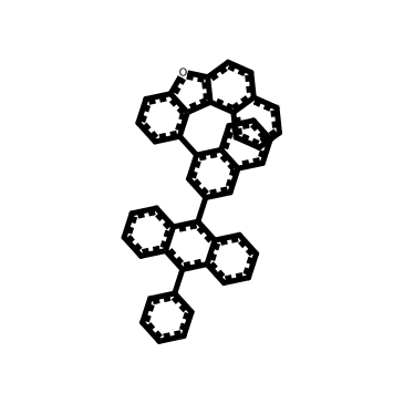 c1ccc(-c2c3ccccc3c(-c3cc(-c4cccc5oc6ccc7ccccc7c6c45)c4ccccc4c3)c3ccccc23)cc1